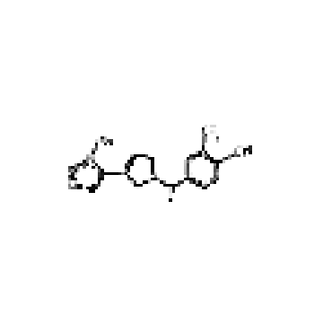 CC(C)(C)n1cncc1C1=CCC(Nc2ccc(C#N)c(C(F)(F)F)c2)C1